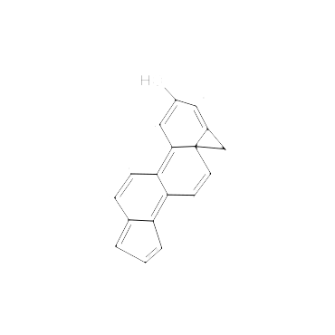 OC1=CC2=c3ccc4c(c3C=CC23CC3=C1)C=CC=4